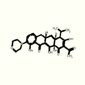 CC(=O)C1=C(O)C(C(C)C)[C@H]2C[C@H]3Cc4ccc(N5CCOCC5)c(O)c4C(=O)C3=C(O)[C@@]2(O)C1=O